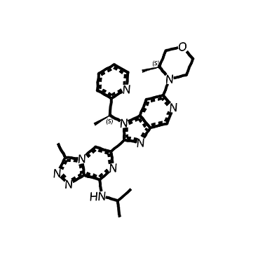 Cc1nnc2c(NC(C)C)nc(-c3nc4cnc(N5CCOC[C@@H]5C)cc4n3[C@@H](C)c3ccccn3)cn12